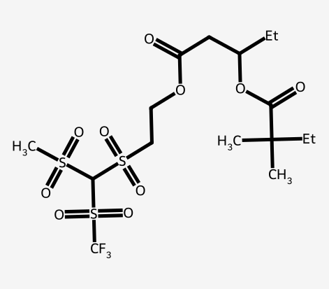 CCC(CC(=O)OCCS(=O)(=O)C(S(C)(=O)=O)S(=O)(=O)C(F)(F)F)OC(=O)C(C)(C)CC